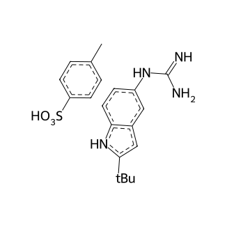 CC(C)(C)c1cc2cc(NC(=N)N)ccc2[nH]1.Cc1ccc(S(=O)(=O)O)cc1